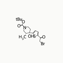 C[C@@H]1CN(C(=O)OC(C)(C)C)CC[C@@]1(O)c1ccc(C(=O)CBr)s1